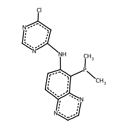 CP(C)c1c(Nc2cc(Cl)ncn2)ccc2nccnc12